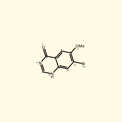 COc1cc2c(=O)nc[nH]c2cc1Br